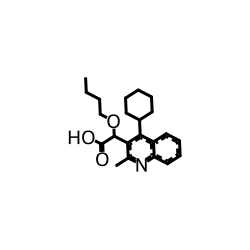 CCCCOC(C(=O)O)c1c(C)nc2ccccc2c1C1CCCCC1